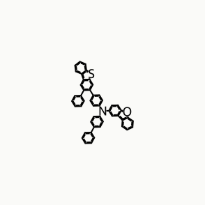 c1ccc(-c2ccc(N(c3ccc(-c4cc5sc6ccccc6c5cc4-c4ccccc4)cc3)c3ccc4oc5ccccc5c4c3)cc2)cc1